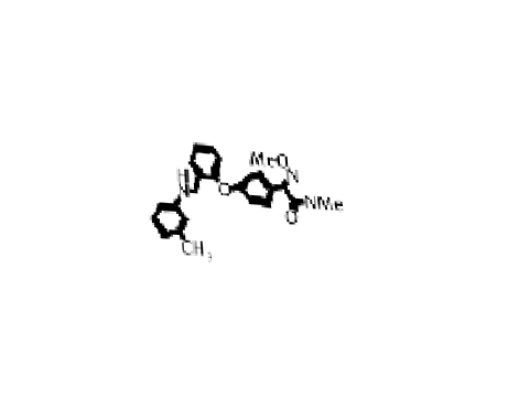 CNC(=O)/C(=N/OC)c1ccc(Oc2ccccc2CNc2cccc(C)c2)cc1